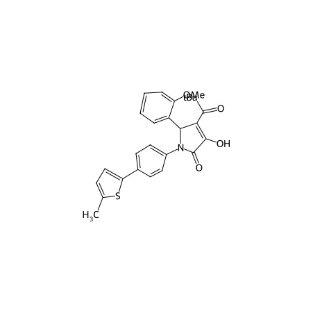 COc1ccccc1C1C(C(=O)C(C)(C)C)=C(O)C(=O)N1c1ccc(-c2ccc(C)s2)cc1